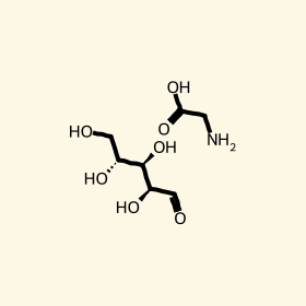 NCC(=O)O.O=C[C@@H](O)[C@H](O)[C@H](O)CO